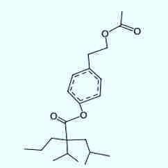 CCCC(CC(C)C)(C(=O)Oc1ccc(CCOC(C)=O)cc1)C(C)C